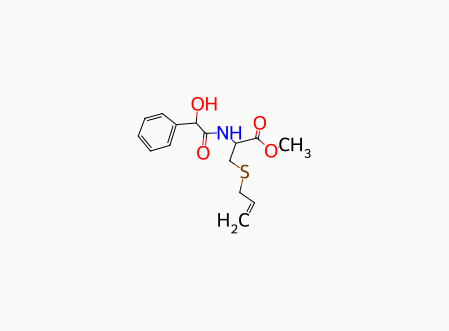 C=CCSCC(NC(=O)C(O)c1ccccc1)C(=O)OC